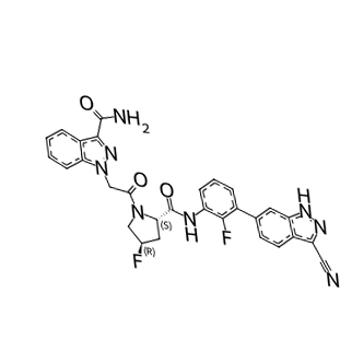 N#Cc1n[nH]c2cc(-c3cccc(NC(=O)[C@@H]4C[C@@H](F)CN4C(=O)Cn4nc(C(N)=O)c5ccccc54)c3F)ccc12